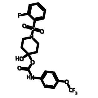 O=C(Nc1ccc(OC(F)(F)F)cc1)OC1(O)CCN(S(=O)(=O)c2ccccc2F)CC1